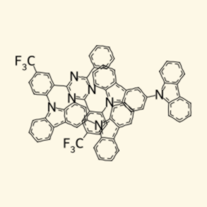 FC(F)(F)c1ccc(-n2c3ccccc3c3cc(-n4c5ccccc5c5ccccc54)ccc32)c(-c2nc(-c3ccccc3)nc(-c3cc(C(F)(F)F)ccc3-n3c4ccccc4c4cc(-n5c6ccccc6c6ccccc65)ccc43)n2)c1